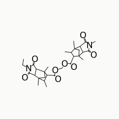 CCN1C(=O)C2C(C1=O)C1(C)CC2(C)C(C)C1C(=O)OCOC(=O)C1C(C)C2(C)CC1(C)C1C(=O)N(C)C(=O)C12